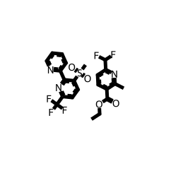 CCOC(=O)c1ccc(C(F)F)nc1C.CS(=O)(=O)c1ccc(C(F)(F)F)nc1-c1ccccn1